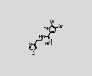 Cl.Cn1c(C(=O)NCCc2c[nH]cn2)cc(Br)c1Br